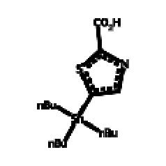 CCC[CH2][Sn]([CH2]CCC)([CH2]CCC)[c]1cnc(C(=O)O)s1